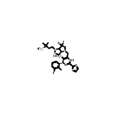 CCOC(=O)C1=C(CN2CC(F)(F)C3C2CON3CCC(C)(C)C(=O)O)NC(c2nccs2)=N[C@H]1c1cccc(F)c1C